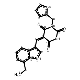 CCc1cccc2c(/C=C3\C(=O)NC(=O)N(Cc4ccco4)C3=O)c[nH]c12